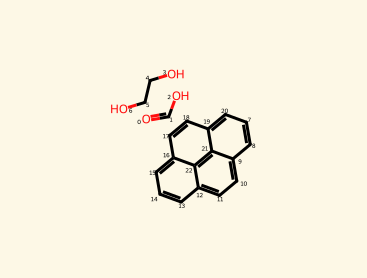 O=CO.OCCO.c1cc2ccc3cccc4ccc(c1)c2c34